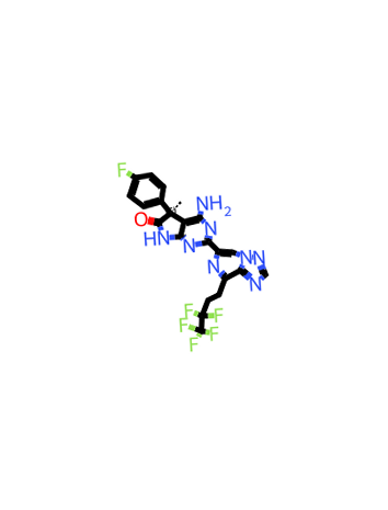 C[C@@]1(c2ccc(F)cc2)C(=O)Nc2nc(-c3cn4ncnc4c(CCC(F)(F)C(F)(F)F)n3)nc(N)c21